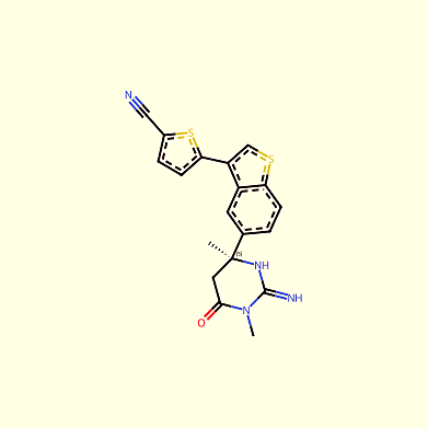 CN1C(=N)N[C@](C)(c2ccc3scc(-c4ccc(C#N)s4)c3c2)CC1=O